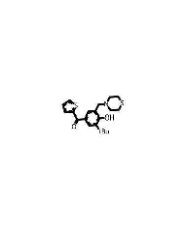 CC(C)(C)c1cc(C(=O)c2cccs2)cc(CN2CCSCC2)c1O